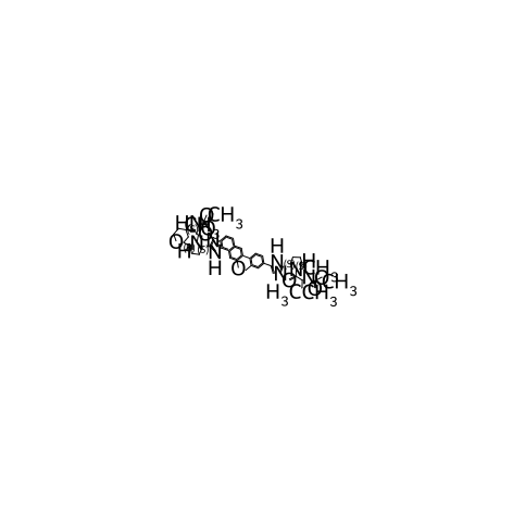 COC(=O)NC(C(=O)N1[C@@H](C)CC[C@H]1c1ncc(-c2ccc3c(c2)COc2cc4c(ccc5nc([C@@H]6CC[C@@H]7C8CC(C)(CCO8)[C@H](NC(=O)OC)C(=O)N76)[nH]c54)cc2-3)[nH]1)C(C)C